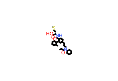 CCC(=O)N(CCCc1ccc(C(=O)N[C@@H](CCSC)C(=O)O)c(-c2ccccc2C)c1)C1CCCCC1